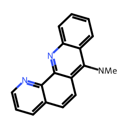 CNc1c2ccccc2nc2c1ccc1cccnc12